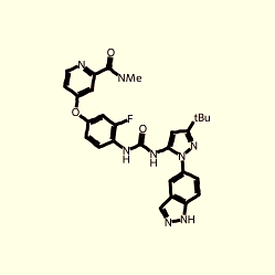 CNC(=O)c1cc(Oc2ccc(NC(=O)Nc3cc(C(C)(C)C)nn3-c3ccc4[nH]ncc4c3)c(F)c2)ccn1